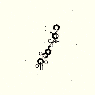 O=C1CCC(N2Cc3ccc(COC(=O)Nc4cnc(N5CCCCC5)c(F)c4)cc3C2=O)C(=O)N1